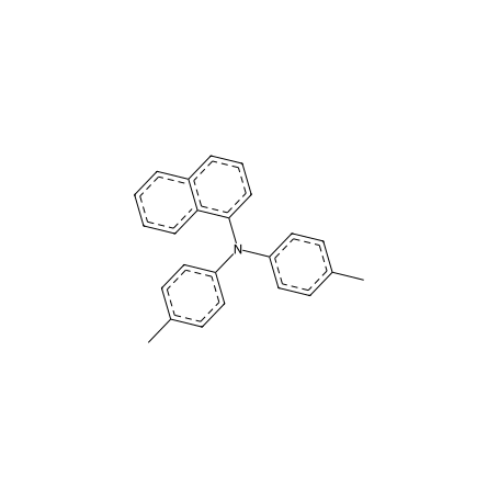 Cc1ccc(N(c2ccc(C)cc2)c2cccc3ccccc23)cc1